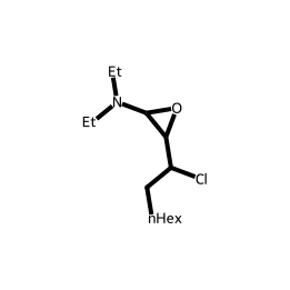 CCCCCCCC(Cl)C1OC1N(CC)CC